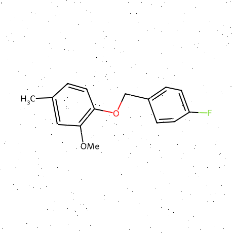 COc1cc(C)ccc1OCc1ccc(F)cc1